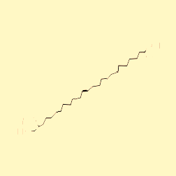 O=C(O)CCCCCCCCCCCC=CCCCCCCCCCC(O)CO